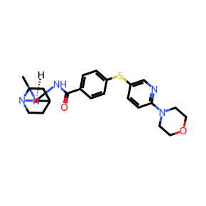 CN1[C@@H](NC(=O)c2ccc(Sc3ccc(N4CCOCC4)nc3)cc2)C2CCN1CC2